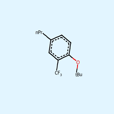 CCCc1ccc(OC(C)(C)C)c(C(F)(F)F)c1